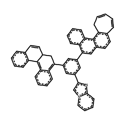 C1=CCc2c(ccc3cc(-c4cc(C5=c6ccccc6=C6c7ccccc7C=CC6C5)cc(-c5cn6ccccc6n5)c4)c4ccccc4c23)C=C1